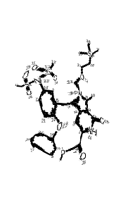 COC(=O)c1cc2c(-c3cc(N(S(C)(=O)=O)S(C)(=O)=O)ccc3Oc3ccccc3)n(COCC[Si](C)(C)C)c(C)c2c(=O)[nH]1